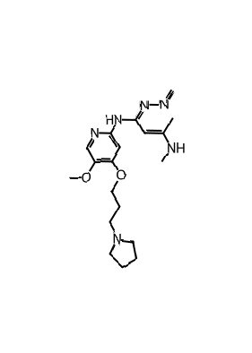 C=N/N=C(\C=C(/C)NC)Nc1cc(OCCCN2CCCC2)c(OC)cn1